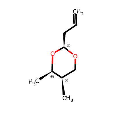 C=CC[C@H]1OC[C@@H](C)[C@@H](C)O1